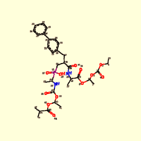 CCOC(=O)OC(C)OC(=O)C(C)NC(=O)C(Cc1ccc(-c2ccccc2)cc1)CP(=O)(O)C(C)NC(=O)OC(C)OC(=O)C(C)C